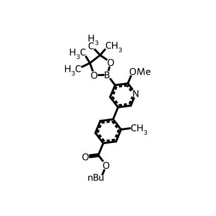 CCCCOC(=O)c1ccc(-c2cnc(OC)c(B3OC(C)(C)C(C)(C)O3)c2)c(C)c1